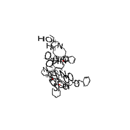 CC[C@]1(O)C[C@@H]2CN(CCc3c([nH]c4ccccc34)[C@@](C(=O)OC)(c3cc4c(cc3OC)N(C)C3[C@]45CCN4CC=C[C@@](CC)([C@@H](O[Si]6(CCCCC(=O)OCc7ccccc7)CCCCC6)[C@]3(O)C(=O)OC)[C@H]45)C2)C1